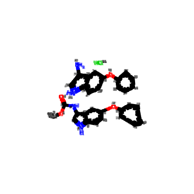 CC(C)(C)OC(=O)Nc1c[nH]c2ccc(Oc3ccccc3)cc12.Cl.Nc1c[nH]c2ccc(Oc3ccccc3)cc12